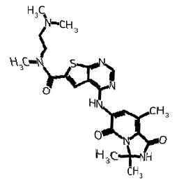 Cc1cc(Nc2ncnc3sc(C(=O)N(C)CCN(C)C)cc23)c(=O)n2c1C(=O)NC2(C)C